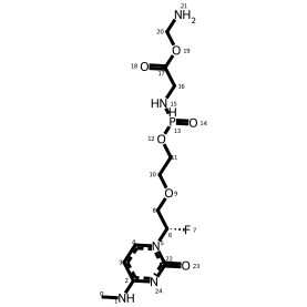 CNc1ccn([C@@H](F)COCCO[PH](=O)NCC(=O)OCN)c(=O)n1